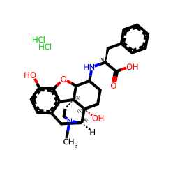 CN1CC[C@]23c4c5ccc(O)c4OC2C(N[C@@H](Cc2ccccc2)C(=O)O)CC[C@@]3(O)[C@H]1C5.Cl.Cl